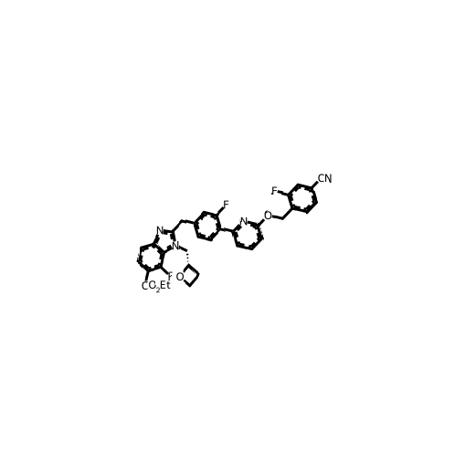 CCOC(=O)c1ccc2nc(Cc3ccc(-c4cccc(OCc5ccc(C#N)cc5F)n4)c(F)c3)n(C[C@@H]3CCO3)c2c1F